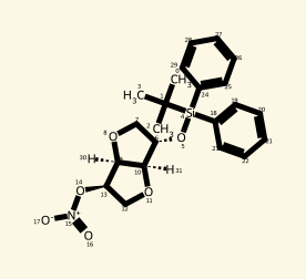 CC(C)(C)[Si](O[C@H]1CO[C@H]2[C@@H]1OC[C@H]2O[N+](=O)[O-])(c1ccccc1)c1ccccc1